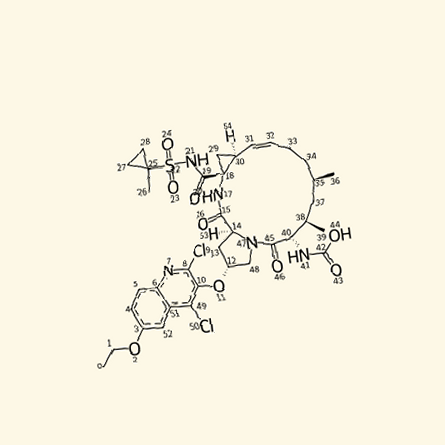 CCOc1ccc2nc(Cl)c(O[C@@H]3C[C@H]4C(=O)N[C@]5(C(=O)NS(=O)(=O)C6(C)CC6)C[C@H]5C=CCC[C@@H](C)C[C@@H](C)[C@H](NC(=O)O)C(=O)N4C3)c(Cl)c2c1